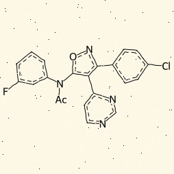 CC(=O)N(c1cccc(F)c1)c1onc(-c2ccc(Cl)cc2)c1-c1ccncn1